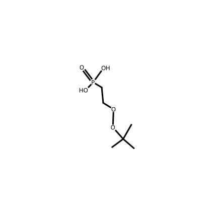 CC(C)(C)OOCCP(=O)(O)O